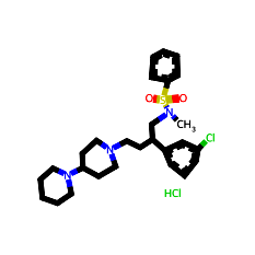 CN(CC(CCN1CCC(N2CCCCC2)CC1)c1cccc(Cl)c1)S(=O)(=O)c1ccccc1.Cl